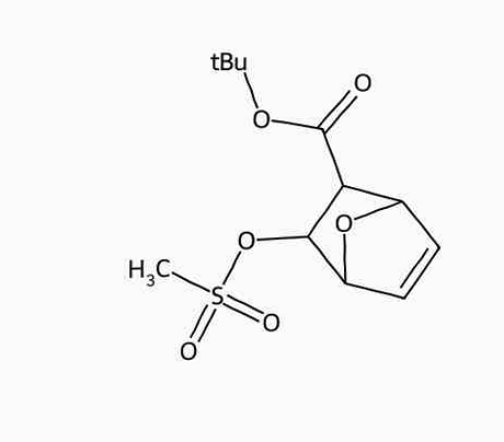 CC(C)(C)OC(=O)C1C2C=CC(O2)C1OS(C)(=O)=O